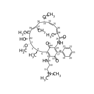 CO[C@H]1C[C@H](C)CC2=C(NCCN(C)C)C(=O)C(c3ccccc3)=C(NC(=O)/C(C)=C/C=C\[C@@H](OC)[CH]/C(C)=C/[C@H](C)[C@H]1O)C2=O